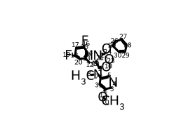 COc1cncc(N(C)C(=O)[C@H](Cc2cc(F)cc(F)c2)NC(=O)Oc2ccccc2)c1